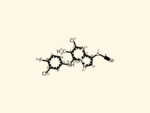 Cc1c(Cl)nc2c(SC#N)cnn2c1Nc1ccc(F)c(Cl)c1